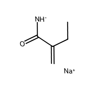 C=C(CC)C([NH-])=O.[Na+]